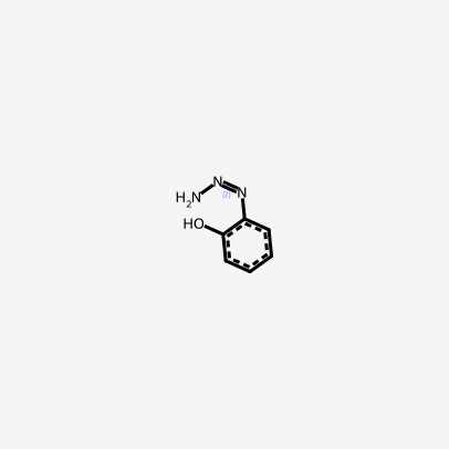 N/N=N\c1ccccc1O